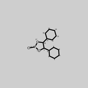 ClP1OC(C2CCCCC2)C(C2CCCCC2)O1